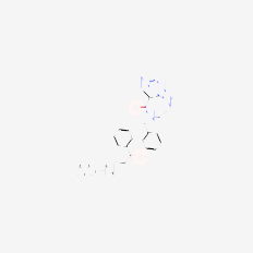 CNCCC(Oc1cccc(CN2CCN(C)c3ncncc3C2=O)c1)c1ccccc1